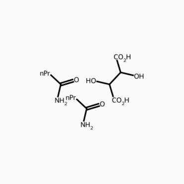 CCCC(N)=O.CCCC(N)=O.O=C(O)C(O)C(O)C(=O)O